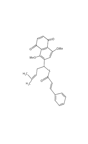 COc1cc(C(CC=C(C)C)SC(=O)C=Cc2ccccc2)c(OC)c2c1C(=O)C=CC2=O